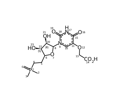 C=P(C)(C)CCC1OC(n2cc(OCC(=O)O)c(=O)[nH]c2=O)[C@H](O)[C@@H]1O